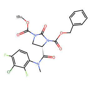 CN(C(=O)[C@@H]1CN(C(=O)OC(C)(C)C)C(=O)N1C(=O)OCc1ccccc1)c1ccc(F)c(Cl)c1F